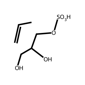 C=CC.O=S(=O)(O)OCC(O)CO